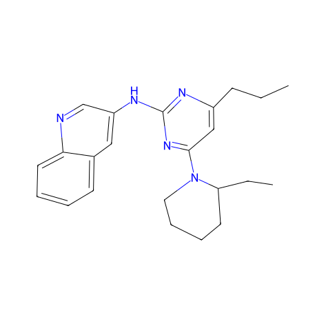 CCCc1cc(N2CCCCC2CC)nc(Nc2cnc3ccccc3c2)n1